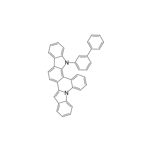 c1ccc(-c2cccc(-n3c4ccccc4c4ccc5c(c6ccccc6n6c7ccccc7cc56)c43)c2)cc1